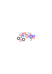 CCc1cn([C@@H]2O[C@H](CN(C)C(=O)C3c4ccccc4Oc4ccccc43)[C@@H](O)[C@@H]2F)c(=O)[nH]c1=O